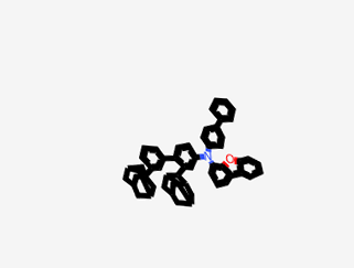 c1ccc(-c2ccc(N(c3ccc(-c4cccc(C56CC7CC(CC(C7)C5)C6)c4)c(C4C5CC6CC(C5)CC4C6)c3)c3cccc4c3oc3ccccc34)cc2)cc1